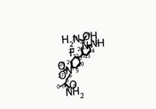 C[C@H](C(N)=O)C1CN(c2ccc(-c3ccc(=N)n(C(N)O)c3)c(F)c2)C(=O)O1